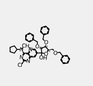 CN(c1nc(Cl)nc2cc(C3(O)O[C@H](COCc4ccccc4)[C@@H](OCc4ccccc4)[C@H]3OCc3ccccc3)cnc12)C1CCCC1